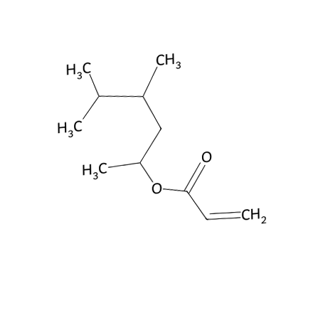 C=CC(=O)OC(C)CC(C)C(C)C